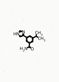 CC(C)c1cc(C(N)=O)cc(-c2c[nH]cn2)c1